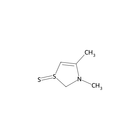 CC1=CS(=S)CN1C